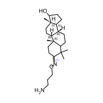 CC1(C)/C(=N/OCCCN)CC[C@@]2(C)C1CC[C@@H]1[C@H]2CC[C@]2(C)C(O)CC[C@@H]12